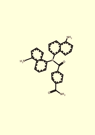 NC(=O)c1ccc(C(=O)N(c2cccc3c(N)cccc23)c2cccc3c(N)cccc23)cc1